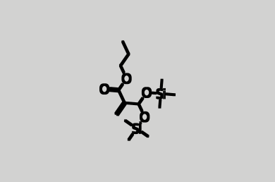 C=C(C(=O)OCCC)C(O[Si](C)(C)C)O[Si](C)(C)C